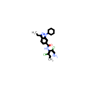 C=C/C(Cl)=C(NC(=O)c1ccc2c(CC)nn(C3CCCCC3)c2c1)\C(Cl)=C/N